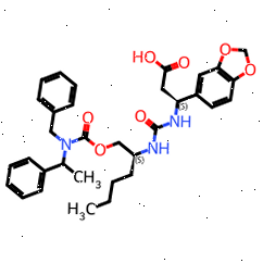 CCCC[C@@H](COC(=O)N(Cc1ccccc1)C(C)c1ccccc1)NC(=O)N[C@@H](CC(=O)O)c1ccc2c(c1)OCO2